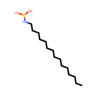 CCCCCCCCCCCCCCCNP(O)O